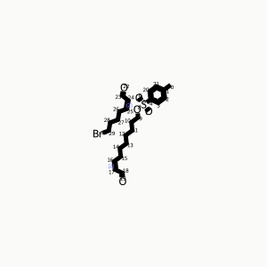 Cc1ccc(S(=O)(=O)OCCCCCCC/C=C\C=O)cc1.O=C/C=C\CCCCBr